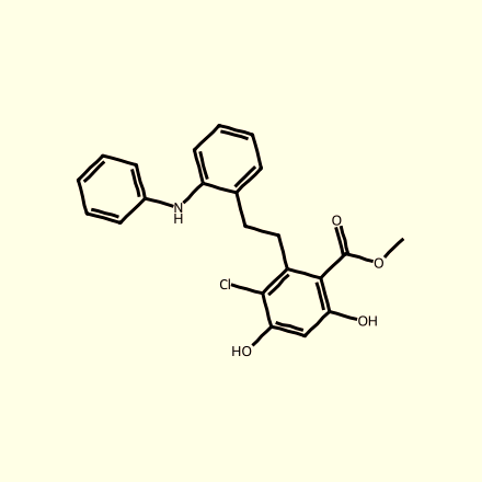 COC(=O)c1c(O)cc(O)c(Cl)c1CCc1ccccc1Nc1ccccc1